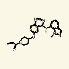 C=CC(=O)N1CCC(Oc2cc3c(Nc4cccc5cnn(C)c45)ncnc3cn2)CC1